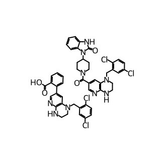 O=C(O)c1ccccc1-c1cnc2c(c1)N(Cc1cc(Cl)ccc1Cl)CCN2.O=C(c1cnc2c(c1)N(Cc1cc(Cl)ccc1Cl)CCN2)N1CCC(n2c(=O)[nH]c3ccccc32)CC1